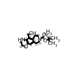 C=Cc1c2c(cc3c1NCCO3)CCN(C(=O)OC(C)(C)C)CC2